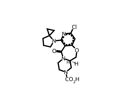 O=C(O)N1CCN2C(=O)c3c(cc(Cl)nc3N3CCCC34CC4)OC[C@H]2C1